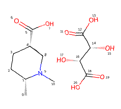 C[C@@H]1CC[C@H](C(=O)O)CN1C.O=C(O)[C@H](O)[C@@H](O)C(=O)O